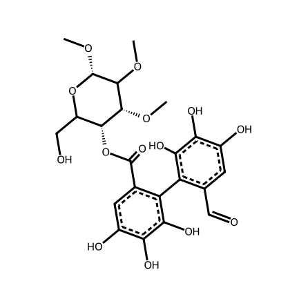 COC1[C@@H](OC)OC(CO)[C@@H](OC(=O)c2cc(O)c(O)c(O)c2-c2c(C=O)cc(O)c(O)c2O)[C@H]1OC